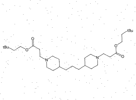 CC(C)(C)CCOC(=O)CCN1CCC(CCCC2CCN(CCC(=O)OCCC(C)(C)C)CC2)CC1